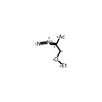 [CH2]COCC(=[N+]=[N-])C(C)=O